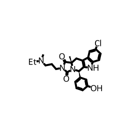 CCN(C)CCCN1C(=O)N2[C@H](c3cccc(O)c3)c3[nH]c4ccc(Cl)cc4c3C[C@@]2(C)C1=O